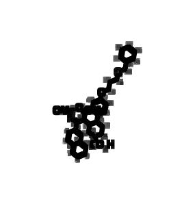 CON=C(c1ccc2ccccc2c1)C(C(=O)OC)C1CN(C(=O)O)CCC1c1ccc(OCCCOCc2ccccc2)cc1